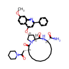 COc1ccc2c(O[C@@H]3C[C@H]4C(=O)N[C@H](C(N)=O)CCCCCCCCC[C@H](CC(=O)N5CCCCC5)C(=O)N4C3)cc(-c3ccccc3)nc2c1